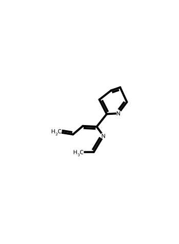 C=C/C=C(\N=C/C)c1ccccn1